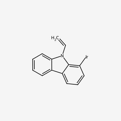 C=Cn1c2ccccc2c2ccc[c]([Ir])c21